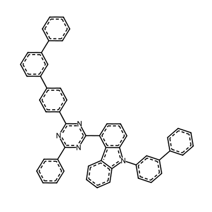 c1ccc(-c2cccc(-c3ccc(-c4nc(-c5ccccc5)nc(-c5cccc6c5c5ccccc5n6-c5cccc(-c6ccccc6)c5)n4)cc3)c2)cc1